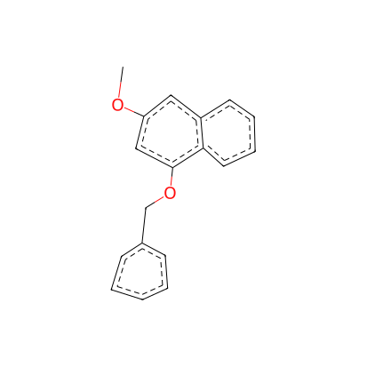 COc1cc(OCc2ccccc2)c2ccccc2c1